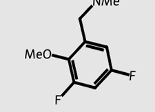 CNCc1cc(F)cc(F)c1OC